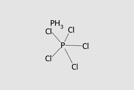 ClP(Cl)(Cl)(Cl)Cl.P